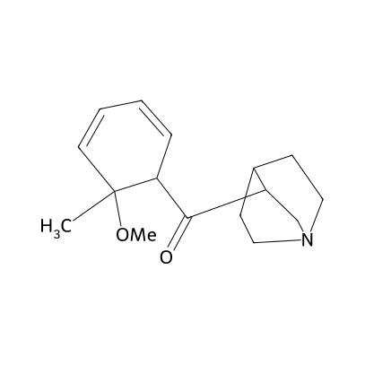 COC1(C)C=CC=CC1C(=O)C1CN2CCC1CC2